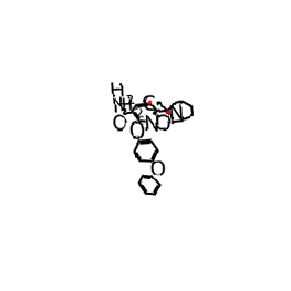 C=CC(=O)N1C2CCC1CC(c1ccc(C(N)=O)c(Oc3ccc(Oc4ccccc4)cc3)n1)C2